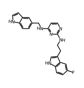 Fc1ccc2[nH]cc(CCNc3nccc(NCc4ccc5[nH]ccc5c4)n3)c2c1